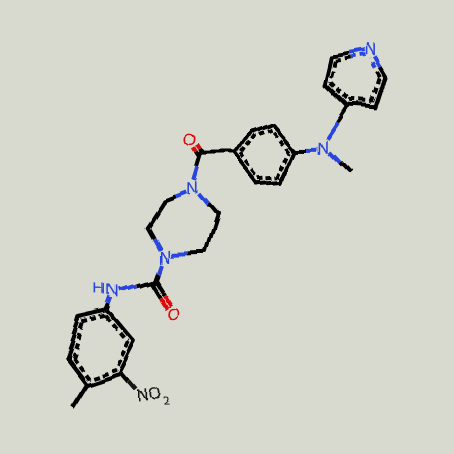 Cc1ccc(NC(=O)N2CCN(C(=O)c3ccc(N(C)c4ccncc4)cc3)CC2)cc1[N+](=O)[O-]